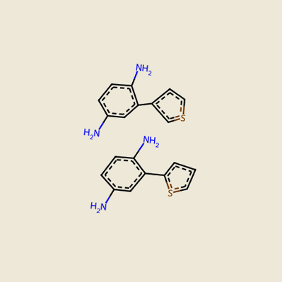 Nc1ccc(N)c(-c2cccs2)c1.Nc1ccc(N)c(-c2ccsc2)c1